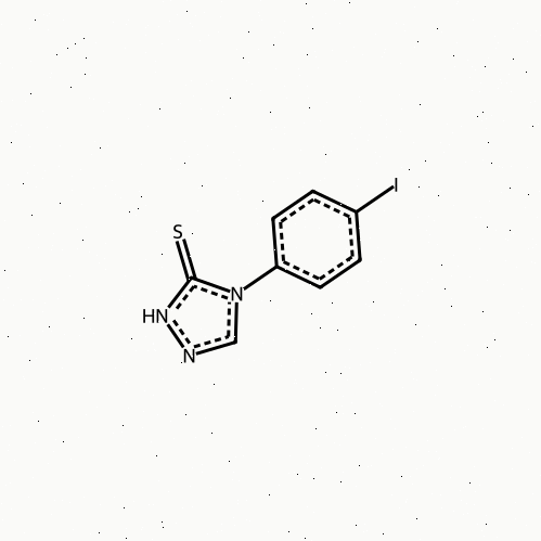 S=c1[nH]ncn1-c1ccc(I)cc1